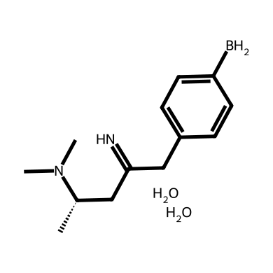 Bc1ccc(CC(=N)C[C@H](C)N(C)C)cc1.O.O